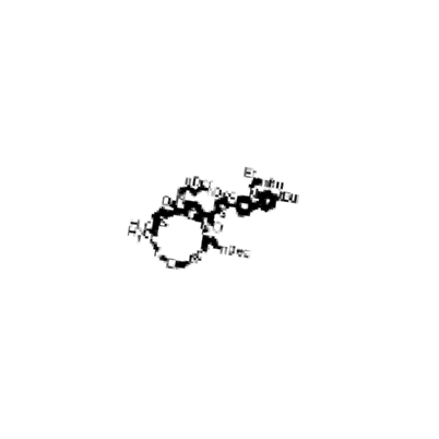 CCCCCCCCCCCCC1CCCCCCCCCCC(C)(C)c2ccc(s2)C2=c3cc4c(cc3N(CC(CCCCCCCCCC)CCCCCCCCCCCC)C2=O)=C(c2ccc(-c3ccc5c6ccc(C(C)(C)C)cc6n(CC(CC)CCCC)c5c3)s2)C(=O)N4C1